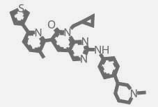 Cc1ccc(-c2ccsc2)nc1-c1cc2cnc(Nc3ccc(C4CCCN(C)C4)cc3)nc2n(CC2CC2)c1=O